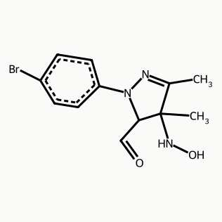 CC1=NN(c2ccc(Br)cc2)C(C=O)C1(C)NO